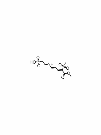 COC(=O)/C(=C/C=C/NCCS(=O)(=O)O)S(C)(=O)=O